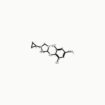 Nc1cc(Cl)c(OC2NN(C3CC3)CO2)c(Cl)c1